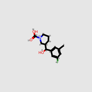 Cc1cc(F)cc(C(O)C2CCCN(C(=O)O)C2)c1